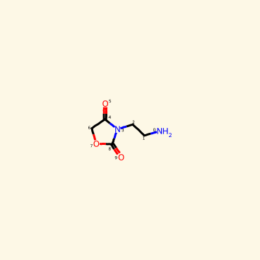 NCCN1C(=O)COC1=O